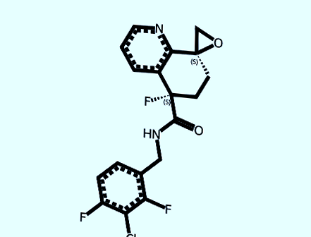 O=C(NCc1ccc(F)c(Cl)c1F)[C@]1(F)CC[C@@]2(CO2)c2ncccc21